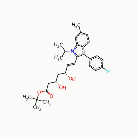 Cc1ccc2c(-c3ccc(F)cc3)c(/C=C/[C@H](O)C[C@H](O)CC(=O)OC(C)(C)C)n(C(C)C)c2c1